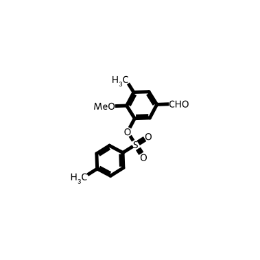 COc1c(C)cc(C=O)cc1OS(=O)(=O)c1ccc(C)cc1